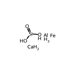 O=[Si](O)O.[AlH3].[CaH2].[Fe]